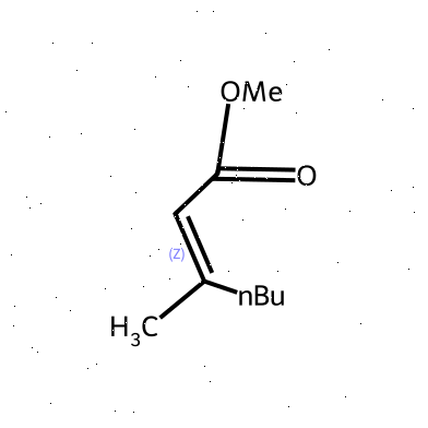 CCCC/C(C)=C\C(=O)OC